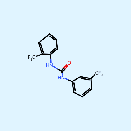 O=C(Nc1cccc(C(F)(F)F)c1)Nc1ccccc1C(F)(F)F